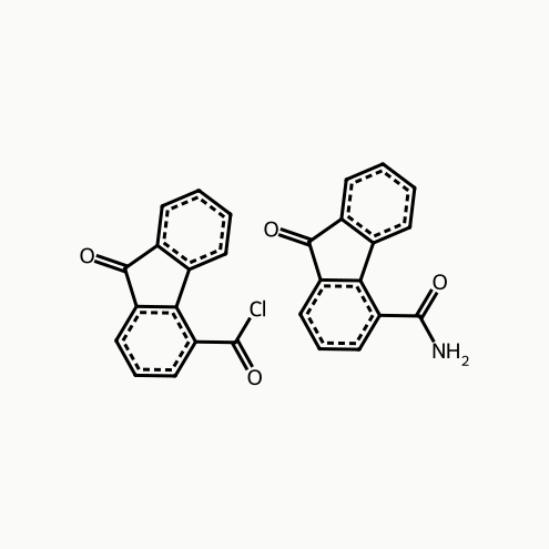 NC(=O)c1cccc2c1-c1ccccc1C2=O.O=C(Cl)c1cccc2c1-c1ccccc1C2=O